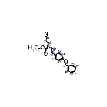 CCOC(=O)N(CCC#N)/N=C/c1ccc(OCc2ccccc2)cc1